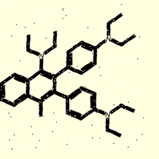 [CH2]c1c(-c2ccc(N(CC)CC)cc2)c(-c2ccc(N(CC)CC)cc2)c(N(CC)CC)c2ccccc12